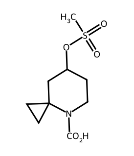 CS(=O)(=O)OC1CCN(C(=O)O)C2(CC2)C1